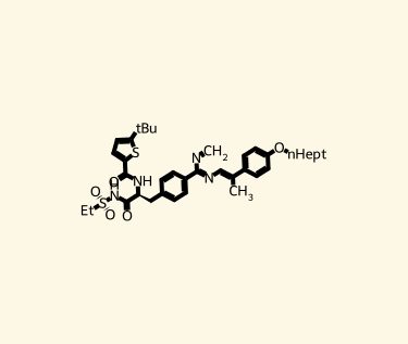 C=N/C(=N\C=C(/C)c1ccc(OCCCCCCC)cc1)c1ccc(C[C@H](NC(=O)c2ccc(C(C)(C)C)s2)C(=O)NS(=O)(=O)CC)cc1